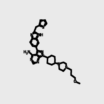 COCCCN1CCN(C2CCC(n3nc(-c4ccc5nc(Cc6cccs6)[nH]c5c4)c4c(N)ncnc43)CC2)CC1